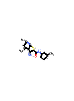 Cc1cccc(NC(=O)c2sc3nc(C)cc(C)c3c2N)c1